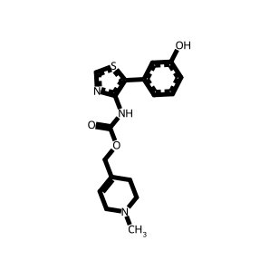 CN1CC=C(COC(=O)Nc2ncsc2-c2cccc(O)c2)CC1